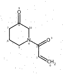 C=CC(=O)N1CCCC(=O)C1